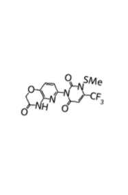 CSn1c(C(F)(F)F)cc(=O)n(-c2ccc3c(n2)NC(=O)CO3)c1=O